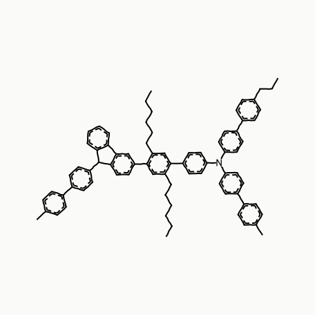 CCCCCCc1cc(-c2ccc3c(c2)-c2ccccc2C3c2ccc(-c3ccc(C)cc3)cc2)c(CCCCCC)cc1-c1ccc(N(c2ccc(-c3ccc(C)cc3)cc2)c2ccc(-c3ccc(CCC)cc3)cc2)cc1